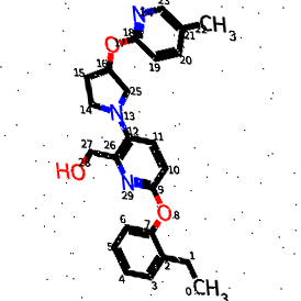 CCc1ccccc1Oc1ccc(N2CCC(Oc3ccc(C)cn3)C2)c(CO)n1